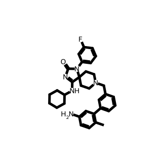 Cc1ccc(N)cc1-c1cccc(CN2CCC3(CC2)C(NC2CCCCC2)=NC(=O)N3c2cccc(F)c2)c1